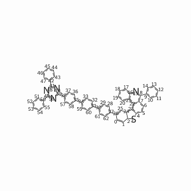 C1=CC2Sc3ccc4c(-c5ccccc5)nc5ccccc5c4c3C2C=C1c1ccc(-c2ccc(-c3ccc(-c4nc(-c5ccccc5)nc(-c5ccccc5)n4)cc3)cc2)cc1